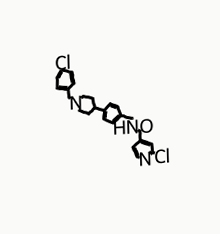 O=C(NCc1ccc(C2CCN(Cc3ccc(Cl)cc3)CC2)cc1)c1ccnc(Cl)c1